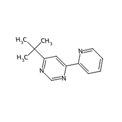 CC(C)(C)c1cc(-c2ccccn2)ncn1